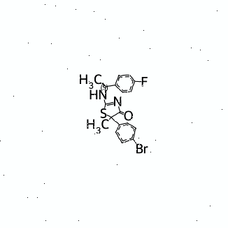 C[C@H](NC1=NC(=O)C(C)(c2ccc(Br)cc2)S1)c1ccc(F)cc1